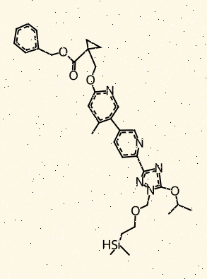 Cc1cc(OCC2(C(=O)OCc3ccccc3)CC2)ncc1-c1ccc(-c2nc(OC(C)C)n(COCC[SiH](C)C)n2)nc1